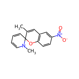 CC1=Cc2cc([N+](=O)[O-])ccc2OC12C=CC=CN2C